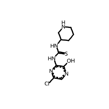 Oc1ncc(Cl)nc1NC(=S)NC1CCCNC1